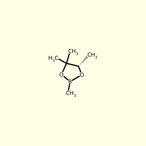 CB1O[C@@H](C)C(C)(C)O1